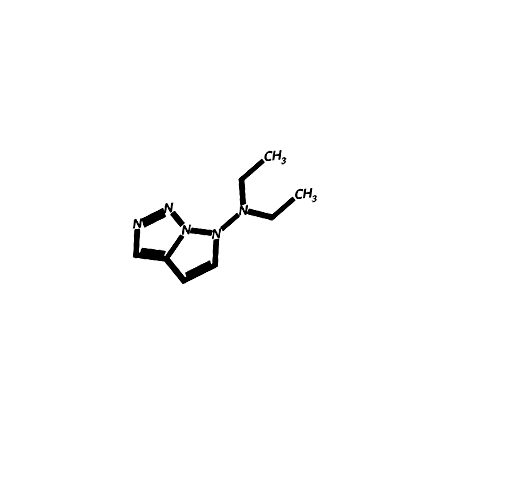 CCN(CC)n1ccc2cnnn21